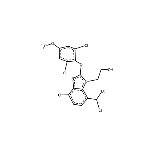 CCC(CC)c1ccc(Cl)c2nc(Oc3c(Cl)cc(OC(F)(F)F)cc3Cl)n(CCO)c12